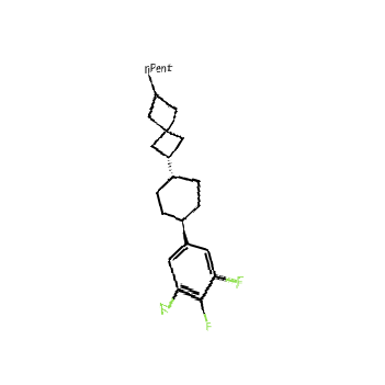 CCCCCC1CC2(C1)CC([C@H]1CC[C@H](c3cc(F)c(F)c(F)c3)CC1)C2